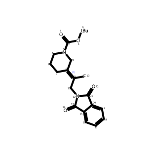 CC(C)(C)OC(=O)N1CCC/C(=C(/F)CN2C(=O)c3ccccc3C2=O)C1